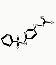 N#CC(C#N)=NNc1ccc(NS(=O)(=O)c2ccccc2)nc1